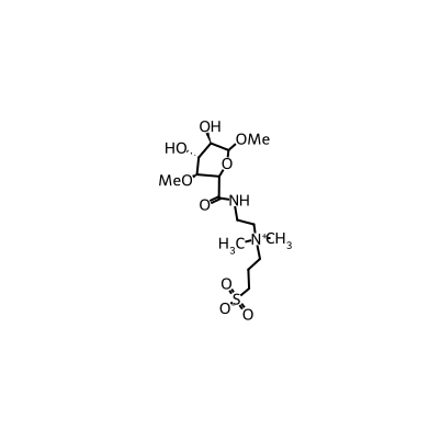 COC1OC(C(=O)NCC[N+](C)(C)CCCS(=O)(=O)[O-])[C@@H](OC)[C@H](O)[C@H]1O